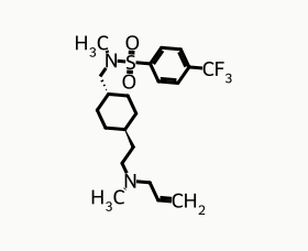 C=CCN(C)CC[C@H]1CC[C@H](CN(C)S(=O)(=O)c2ccc(C(F)(F)F)cc2)CC1